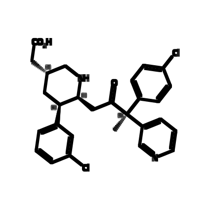 C[C@](C(=O)C[C@@H]1NC[C@@H](CC(=O)O)C[C@@H]1c1cccc(Cl)c1)(c1ccc(Cl)cc1)c1cccnc1